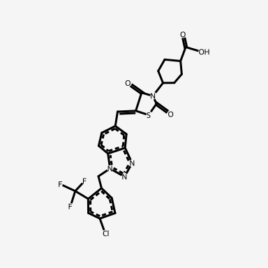 O=C(O)C1CCC(N2C(=O)SC(=Cc3ccc4c(c3)nnn4Cc3ccc(Cl)cc3C(F)(F)F)C2=O)CC1